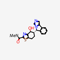 CNC(=O)c1nc2c(s1)CC[C@@H](C1c3ccccc3-c3cncn31)[C@@H]2O